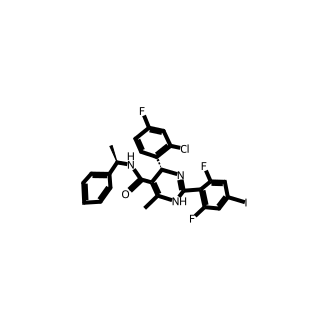 CC1=C(C(=O)N[C@H](C)c2ccccc2)[C@H](c2ccc(F)cc2Cl)N=C(c2c(F)cc(I)cc2F)N1